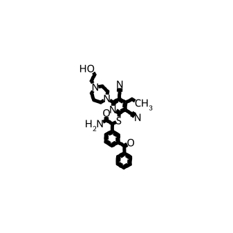 CCc1c(C#N)c(SC(C(N)=O)c2cccc(C(=O)c3ccccc3)c2)nc(N2CCCN(CCO)CC2)c1C#N